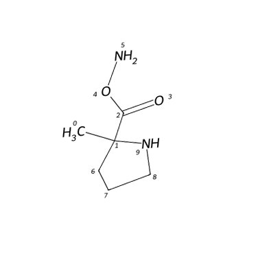 CC1(C(=O)ON)CCCN1